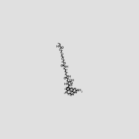 CCNC(=O)OCCOCCOCCOC(=O)NCCCCCNC(=O)CCC(NC(=O)c1ccc(N(C)Cc2cnc3nc(N)nc(N)c3n2)cc1)C(=O)O